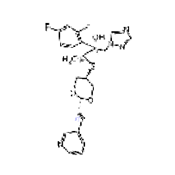 C[C@@H](S[C@H]1CO[C@H](/C=C/c2cccnc2)OC1)[C@](O)(Cn1cncn1)c1ccc(F)cc1F